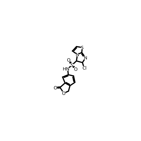 O=C1OCc2ccc(NS(=O)(=O)C3C(Cl)N=C4SC=CN43)cc21